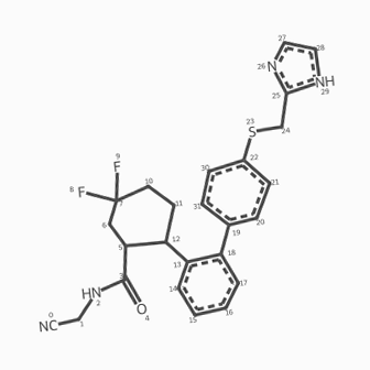 N#CCNC(=O)C1CC(F)(F)CCC1c1ccccc1-c1ccc(SCc2ncc[nH]2)cc1